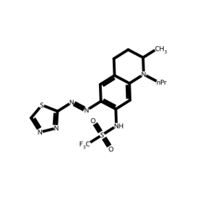 CCCN1c2cc(NS(=O)(=O)C(F)(F)F)c(N=Nc3nncs3)cc2CCC1C